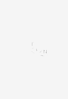 CCC[C@H]1CC[C@H](c2ccc(-c3ccc(Cl)nc3)cc2F)CC1